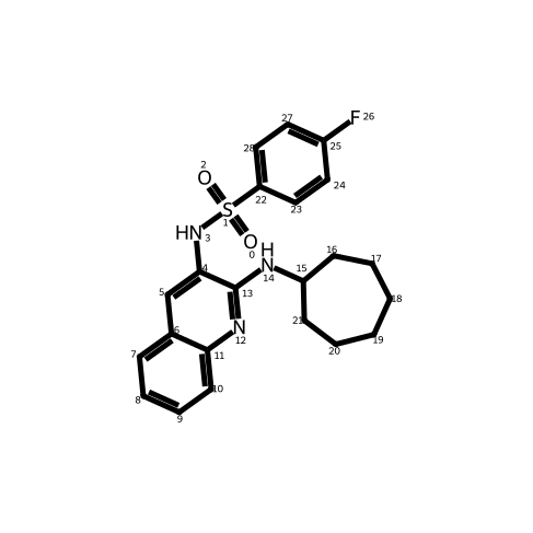 O=S(=O)(Nc1cc2ccccc2nc1NC1CCCCCC1)c1ccc(F)cc1